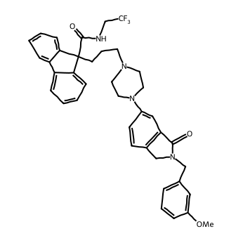 COc1cccc(CN2Cc3ccc(N4CCN(CCCC5(C(=O)NCC(F)(F)F)c6ccccc6-c6ccccc65)CC4)cc3C2=O)c1